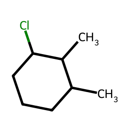 CC1CCCC(Cl)C1C